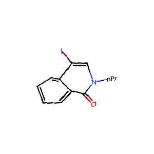 CCCn1cc(I)c2ccccc2c1=O